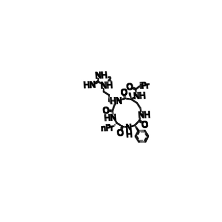 CCC[C@@H]1NC(=O)[C@H](CCCNC(=N)N)NC(=O)[C@](C)(NC(=O)C(C)C)CCNC(=O)[C@@H](c2ccccc2)NC1=O